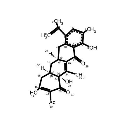 C=C(C)c1cc(C)c(O)c2c1C[C@@H]1C[C@@H]3CC(O)=C(C(C)=O)C(=O)[C@]3(O)C(C)=C1C2=O